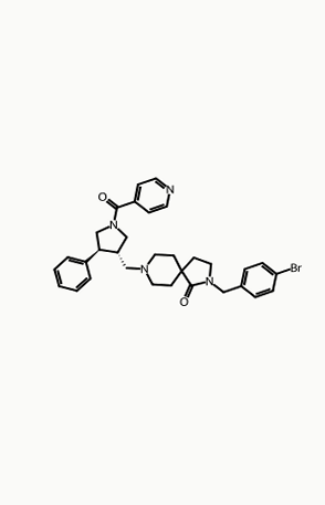 O=C(c1ccncc1)N1C[C@H](CN2CCC3(CC2)CCN(Cc2ccc(Br)cc2)C3=O)[C@@H](c2ccccc2)C1